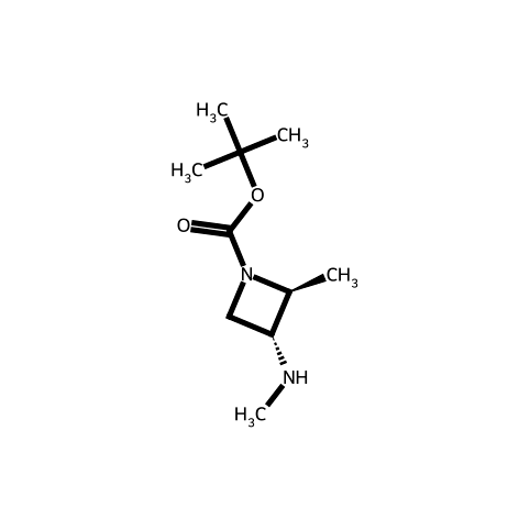 CN[C@@H]1CN(C(=O)OC(C)(C)C)[C@H]1C